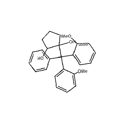 COc1ccccc1C(c1ccccc1)(c1ccccc1OC)C1(O)CCCC1O